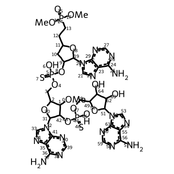 COC1C(COP(O)(=S)OC2CC(CCP(=O)(OC)OC)OC2n2cnc3c(N)ncnc32)OC(n2cnc3c(N)ncnc32)C1OP(O)(=S)OCC1OC(n2cnc3c(N)ncnc32)C(O)C1O